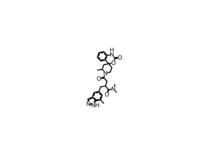 Cc1cc(CC(CC(=O)N2CCC3(CC2C)OC(=O)Nc2ccccc23)C(=O)N(C)C)cc2cn[nH]c12